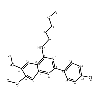 COCCCNc1nc(-c2ccc(Cl)cc2)nc2cc(OC)c(OC)cc12